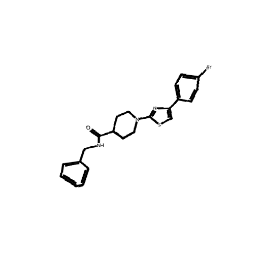 O=C(NCc1ccccc1)C1CCN(c2nc(-c3ccc(Br)cc3)cs2)CC1